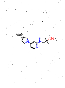 CN[C@@H]1CCN(c2ccnc(NCC(C)(C)O)c2)C1